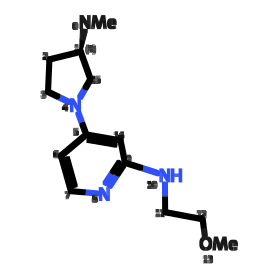 CN[C@@H]1CCN(c2ccnc(NCCOC)c2)C1